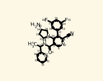 CC(NC(=O)c1cnc(C#N)c(-c2cc(F)cc(F)c2)c1N1CC[C@H](N)C1)c1ccccn1